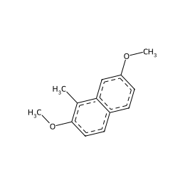 COc1ccc2ccc(OC)c(C)c2c1